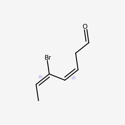 C/C=C(Br)\C=C/CC=O